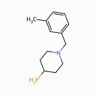 Cc1cccc(CN2CCC(P)CC2)c1